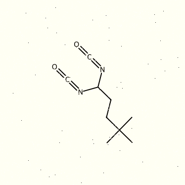 CC(C)(C)CCC(N=C=O)N=C=O